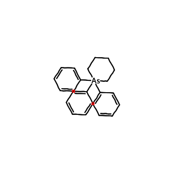 c1ccc([As]2(c3ccccc3)(c3ccccc3)CCCCC2)cc1